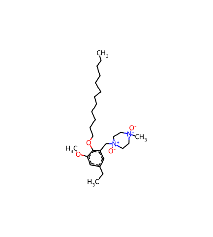 CCCCCCCCCCCCOc1c(C[N+]2([O-])CC[N+](C)([O-])CC2)cc(CC)cc1OC